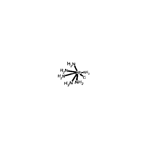 [NH2][Rh]([NH2])([NH2])([NH2])([NH2])([NH2])[Cl]